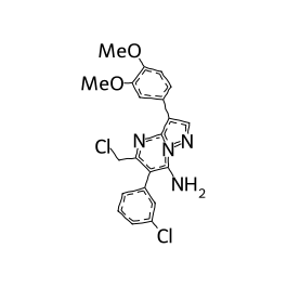 COc1ccc(-c2cnn3c(N)c(-c4cccc(Cl)c4)c(CCl)nc23)cc1OC